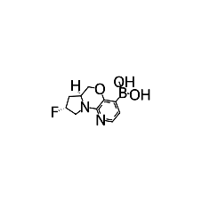 OB(O)c1ccnc2c1OC[C@@H]1C[C@@H](F)CN21